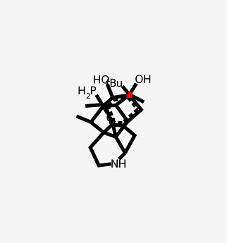 Cc1c(O)ccc2c1C13CCNC(C2)C12CCC(P)(C(C(C)(O)C(C)(C)C)C2)C3C